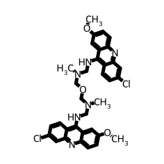 COc1ccc2nc3cc(Cl)ccc3c(NCN(C)COCN(C)CNc3c4ccc(Cl)cc4nc4ccc(OC)cc34)c2c1